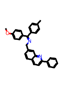 COc1ccc(/C(=N\Cc2ccc3ccc(-c4ccccc4)nc3c2)c2ccc(C)cc2)cc1